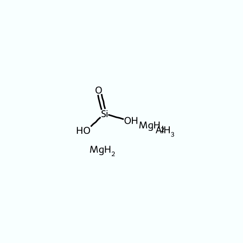 O=[Si](O)O.[AlH3].[MgH2].[MgH2]